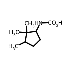 CC1CCC(NC(=O)O)C1(C)C